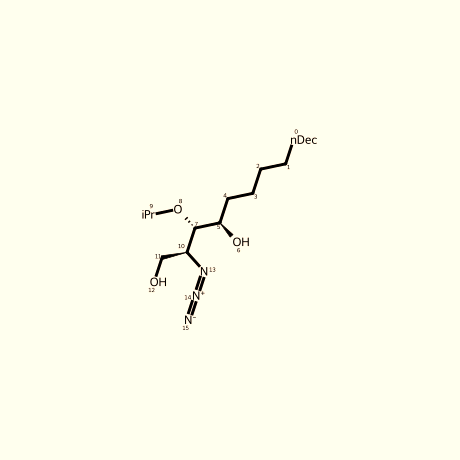 CCCCCCCCCCCCCC[C@@H](O)[C@@H](OC(C)C)[C@H](CO)N=[N+]=[N-]